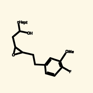 CCCCCCCC(O)CC1OC1CCc1ccc(F)c(OC)c1